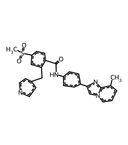 Cc1cccn2cc(-c3ccc(NC(=O)c4ccc(S(C)(=O)=O)cc4Cc4ccncc4)cc3)nc12